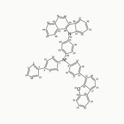 c1ccc(-c2ccc(N(c3ccc(-c4cccc5c4oc4ccccc45)cc3)c3ccc(-n4c5ccccc5c5ccc6ccccc6c54)cc3)cc2)cc1